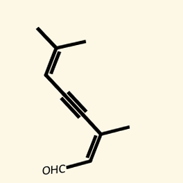 CC(C)=CC#C/C(C)=C\C=O